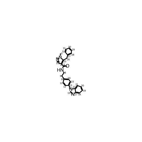 Cn1nnc(C(=O)NCCc2ccc(-n3cnc4ccccc43)cc2)c1Cc1ccccc1